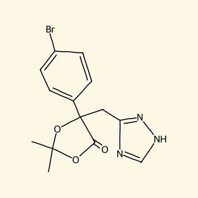 CC1(C)OC(=O)C(Cc2nc[nH]n2)(c2ccc(Br)cc2)O1